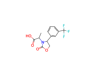 CC(C(=O)O)N1C(=O)OCC1c1cccc(C(F)(F)F)c1